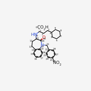 O=C(O)[C@H](CCC1CCCCC1)NC1CCc2ccccc2N(Cc2ccc([N+](=O)[O-])cc2)C1=O